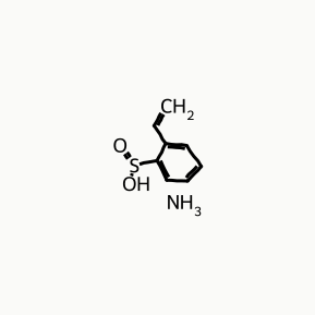 C=Cc1ccccc1S(=O)O.N